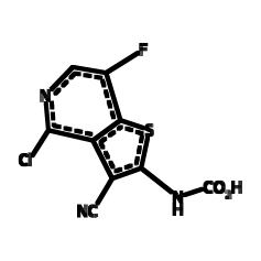 N#Cc1c(NC(=O)O)sc2c(F)cnc(Cl)c12